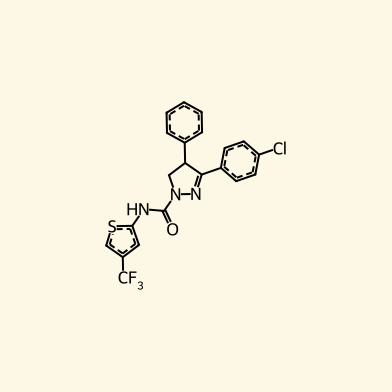 O=C(Nc1cc(C(F)(F)F)cs1)N1CC(c2ccccc2)C(c2ccc(Cl)cc2)=N1